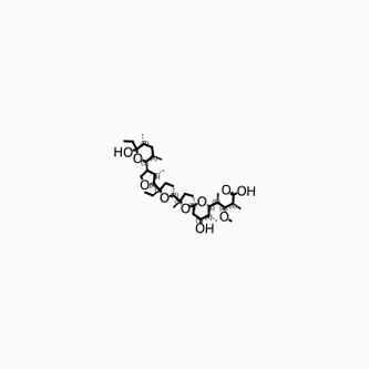 CCC1(O)O[C@H](C2CO[C@@H]([C@]3(CC)CC[C@H]([C@]4(C)CC[C@]5(C[C@H](O)[C@@H](C)[C@@H]([C@@H](C)[C@@H](OC)[C@H](C)C(=O)O)O5)O4)O3)[C@H]2C)[C@H](C)C[C@H]1C